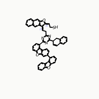 SC/C=c1/oc2cc3ccccc3cc2/c1=C/Cc1nc(-c2cccc3oc4cc(-c5cccc6oc7ccccc7c56)ccc4c23)nc(C2C=Cc3ccccc3C2)n1